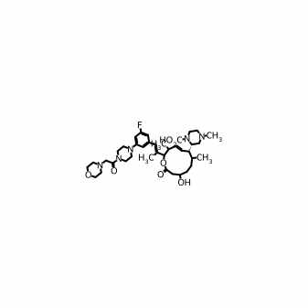 CC(=Cc1cc(F)cc(N2CCN(C(=O)CN3CCOCC3)CC2)c1)C1OC(=O)CC(O)CCC(C)C([C@H]2CN(C)CCN2C(=O)O)/C=C/C1C